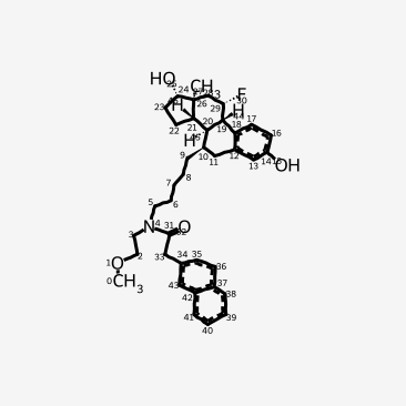 COCCN(CCCCC[C@@H]1Cc2cc(O)ccc2[C@@H]2[C@@H]1[C@@H]1CC[C@H](O)[C@@]1(C)C[C@@H]2F)C(=O)Cc1ccc2ccccc2c1